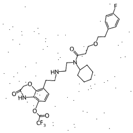 O=C1COc2c(CCNCCN(C(=O)CCOCCc3ccc(F)cc3)C3CCCCC3)ccc(OC(=O)C(F)(F)F)c2N1